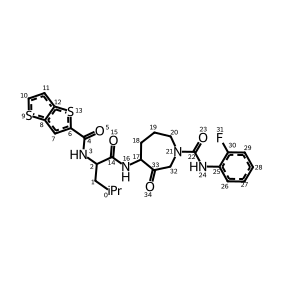 CC(C)CC(NC(=O)c1cc2sccc2s1)C(=O)NC1CCCN(C(=O)Nc2ccccc2F)CC1=O